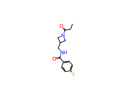 CCC(=O)N1CC(CNC(=O)c2ccc(F)cc2)C1